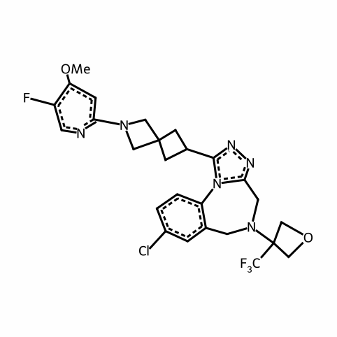 COc1cc(N2CC3(CC(c4nnc5n4-c4ccc(Cl)cc4CN(C4(C(F)(F)F)COC4)C5)C3)C2)ncc1F